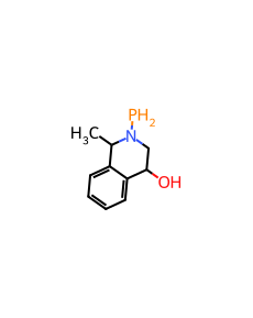 CC1c2ccccc2C(O)CN1P